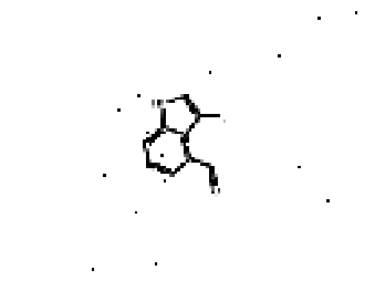 O=Cc1cccc2[nH]cc(Cl)c12